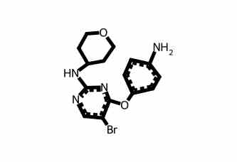 Nc1ccc(Oc2nc(NC3CCOCC3)ncc2Br)cc1